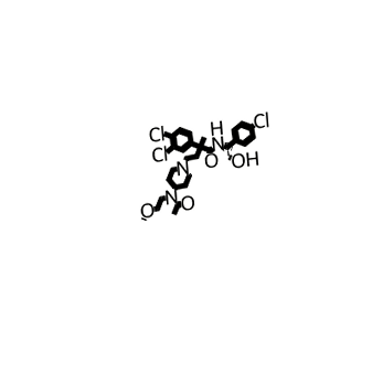 COCCN(C(C)=O)C1CCN(CCC(C)(C(=O)N[C@@H](CO)c2ccc(Cl)cc2)c2ccc(Cl)c(Cl)c2)CC1